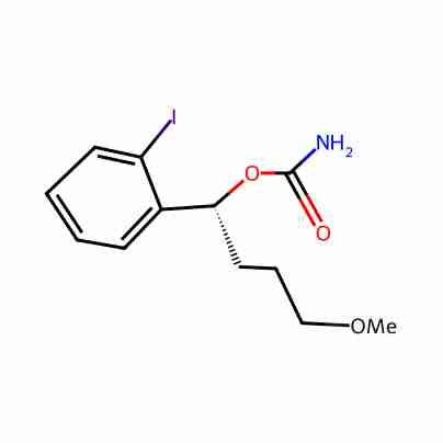 COCCC[C@@H](OC(N)=O)c1ccccc1I